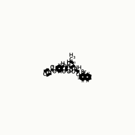 CC(C)C[C@H](NC(=O)COc1ccc2ccccc2c1Br)C(=O)N[C@@H](Cc1ccc(OC(=O)N2CCOCC2)cc1)C(=O)O